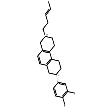 C/C=C/CC[C@H]1CCc2c(ccc3c2CC[C@H](c2ccc(F)c(F)c2)C3)C1